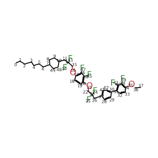 CCCCCCCC1CCC(CC(F)(F)COc2ccc(OCC(F)(F)Cc3ccc(-c4ccc(OCC)c(F)c4F)cc3)c(F)c2F)CC1